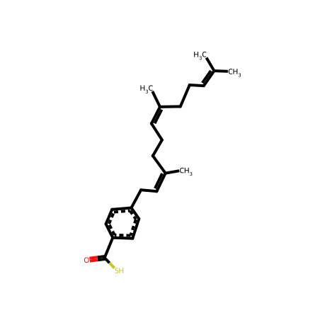 CC(C)=CCCC(C)=CCCC(C)=CCc1ccc(C(=O)S)cc1